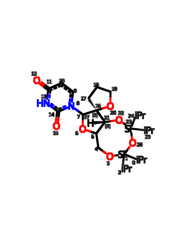 CC(C)[Si]1(C(C)C)OCC2OC(n3ccc(=O)[nH]c3=O)[C@]3(CCCO3)[C@@H]2O[Si](C(C)C)(C(C)C)O1